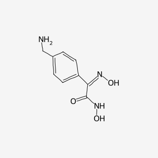 NCc1ccc(C(=NO)C(=O)NO)cc1